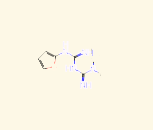 CN(C)C(=N)NC(=N)Nc1ccco1